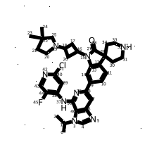 CC(C)n1cnc2cc(-c3ccc4c(c3)N(C3CC(N5CCC(C)(C)C5)C3)C(=O)C43CCNCC3)nc(Nc3cc(Cl)ncc3F)c21